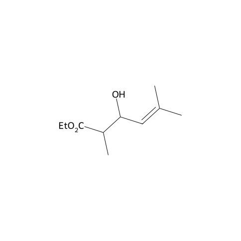 CCOC(=O)C(C)C(O)C=C(C)C